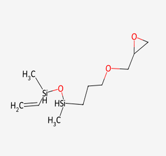 C=C[SiH](C)O[SiH](C)CCCOCC1CO1